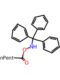 CCCCCC(=O)ONC(c1ccccc1)(c1ccccc1)c1ccccc1